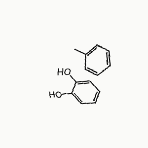 Cc1ccccc1.Oc1ccccc1O